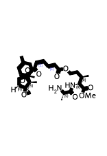 COC(=O)[C@H](NC(=O)[C@H](C)N)[C@H](C)CCOC(=O)/C=C/C=C\C(=O)O[C@@H]1C[C@H]2OC3C=C(C)CC[C@]3(C)[C@]1(C)[C@]21CO1